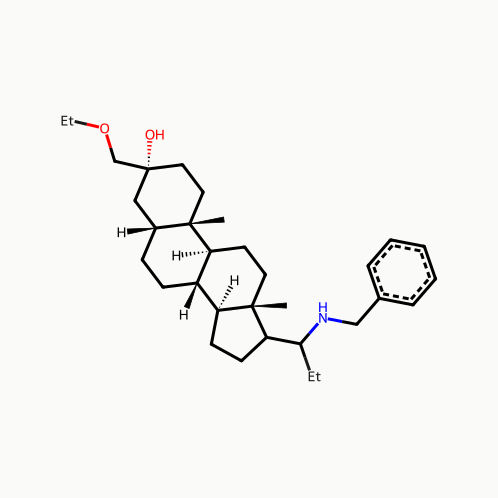 CCOC[C@@]1(O)CC[C@@]2(C)[C@H](CC[C@@H]3[C@@H]2CC[C@]2(C)C(C(CC)NCc4ccccc4)CC[C@@H]32)C1